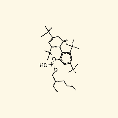 C=C1CC(C(C)(C)C)=CC(C(C)(C)C)=C1c1c(OP(O)OCC(CC)CCCC)cc(C(C)(C)C)cc1C(C)(C)C